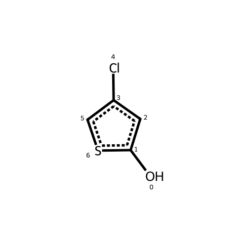 Oc1cc(Cl)cs1